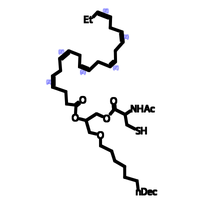 CC/C=C\C/C=C\C/C=C\C/C=C\C/C=C\C/C=C\CCC(=O)OC(COCCCCCCCCCCCCCCCC)COC(=O)C(CS)NC(C)=O